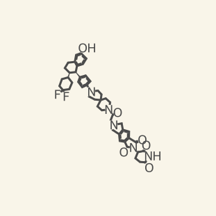 O=C1CCC(N2C(=O)c3cc4c(cc3C2=O)CN(CC(=O)N2CCC3(CC2)CCN(c2ccc([C@@H]5c6ccc(O)cc6CC[C@@H]5C5CCC(F)(F)CC5)cc2)CC3)C4)C(=O)N1